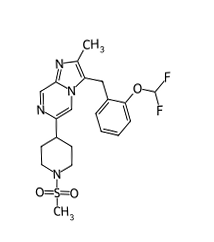 Cc1nc2cnc(C3CCN(S(C)(=O)=O)CC3)cn2c1Cc1ccccc1OC(F)F